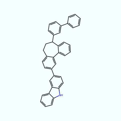 c1ccc(-c2cccc(C3CCc4ccc(-c5ccc6[nH]c7ccccc7c6c5)cc4-c4ccccc43)c2)cc1